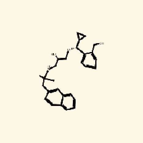 CC(C)(Cc1ccc2ccccc2c1)NC[C@@H](O)CO[C@@H](c1ccccc1CO)C1CC1